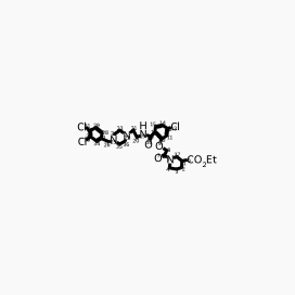 CCOC(=O)C1CCCN(C(=O)COc2cc(Cl)ccc2C(=O)NCCN2CCN(Cc3ccc(Cl)c(Cl)c3)CC2)C1